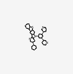 c1ccc(-c2cnc3c4cc5c(cc4n(-c4cc(-c6cccnc6)cc(-c6cccnc6)c4)c3c2)sc2ccccc25)cc1